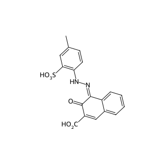 Cc1ccc(NN=C2C(=O)C(C(=O)O)=Cc3ccccc32)c(S(=O)(=O)O)c1